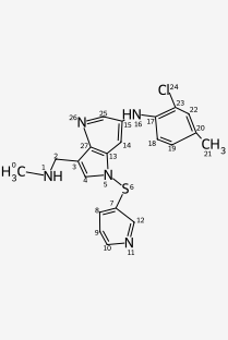 CNCc1cn(Sc2cccnc2)c2cc(Nc3ccc(C)cc3Cl)cnc12